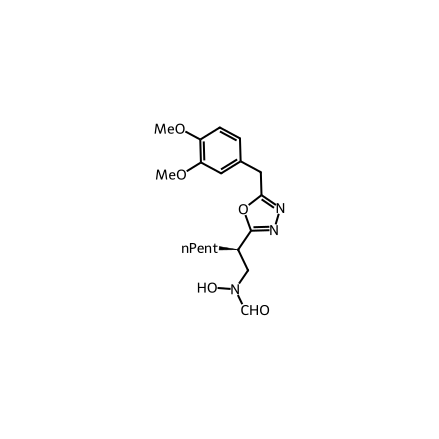 CCCCC[C@H](CN(O)C=O)c1nnc(Cc2ccc(OC)c(OC)c2)o1